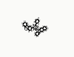 c1ccc(-c2nc(-c3ccc4oc5ccccc5c4c3)nc(-n3c4ccccc4c4cc5ccccc5cc43)n2)cc1